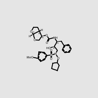 COc1ccc(S(=O)(=O)N(C[C@@H](O)[C@H](Cc2ccccc2)NC(=O)O[C@H]2CO[C@@H]3OCC[C@@H]32)OC2CCCC2)cc1